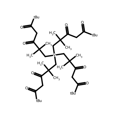 CC(C)(C)C(=O)CC(=O)C(C)(C)[CH2][V]([CH2]C(C)(C)C(=O)CC(=O)C(C)(C)C)([CH2]C(C)(C)C(=O)CC(=O)C(C)(C)C)[CH2]C(C)(C)C(=O)CC(=O)C(C)(C)C